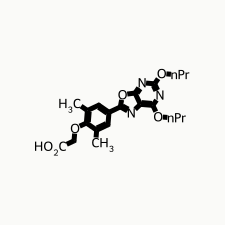 CCCOc1nc(OCCC)c2nc(-c3cc(C)c(OCC(=O)O)c(C)c3)oc2n1